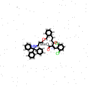 COC(=O)/C(=C/c1c(Cl)cccc1Cl)C(=O)CCc1ccccc1COCCCNC(c1ccccc1)(c1ccccc1)c1ccccc1